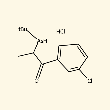 CC([AsH]C(C)(C)C)C(=O)c1cccc(Cl)c1.Cl